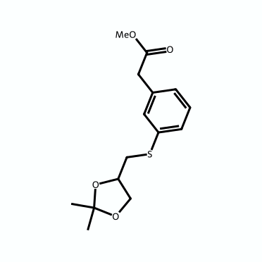 COC(=O)Cc1cccc(SCC2COC(C)(C)O2)c1